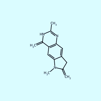 C=C1NC(C)=Nc2cc3c(cc21)N(C)C(=C)C3